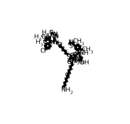 Cc1ncsc1-c1ccc([C@H](C)NC(=O)[C@@H]2C[C@@H](O)CN2C(=O)[C@@H](NC(=O)CCCCCOCCCCCCN)C(C)(C)SCCCCCCOCC[C@@H]2N=C(c3ccc(Cl)cc3)c3c(sc(C)c3C)-n3c(C)nnc32)cc1